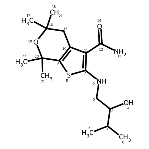 CC(C)C(O)CNc1sc2c(c1C(N)=O)CC(C)(C)OC2(C)C